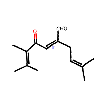 CC(C)=CC/C(C=O)=C/C(=O)C(C)=C(C)C